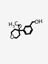 COC1(c2cccc(CO)c2)CCOCC1